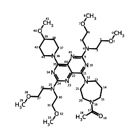 COCCN(CCOC)c1nc(N2CCCN(C(C)=O)CC2)c2nc(N(CCOC)CCOC)nc(N3CCC(OC)CC3)c2n1